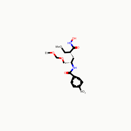 CCOCOC[C@H](C[C@H](COC)C(=O)NO)NC(=O)c1ccc([N+](=O)[O-])cc1